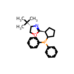 CC(C)(C)[C@H]1COC([C@H]2CCCC2P(c2ccccc2)c2ccccc2)=N1